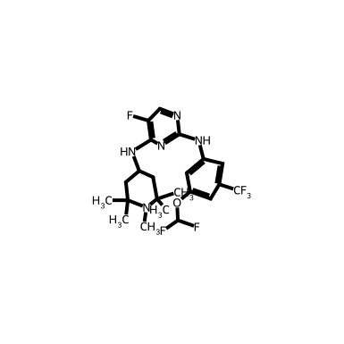 CN1C(C)(C)CC(Nc2nc(Nc3cc(OC(F)F)cc(C(F)(F)F)c3)ncc2F)CC1(C)C